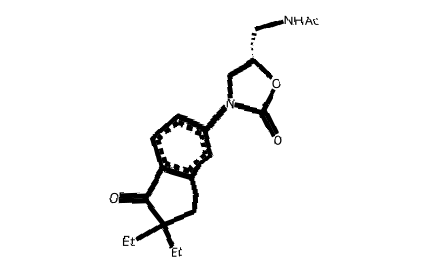 CCC1(CC)Cc2cc(N3C[C@H](CNC(C)=O)OC3=O)ccc2C1=O